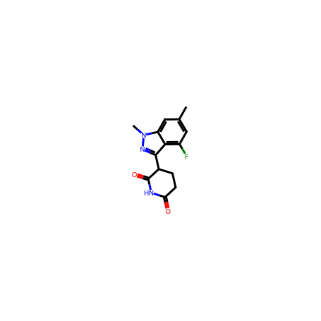 Cc1cc(F)c2c(C3CCC(=O)NC3=O)nn(C)c2c1